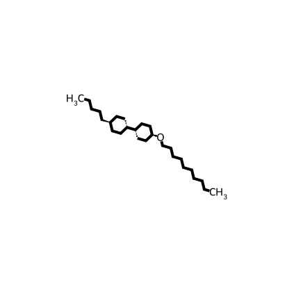 CCCCCCCCCCO[C@H]1CC[C@H]([C@H]2CC[C@H](CCCCC)CC2)CC1